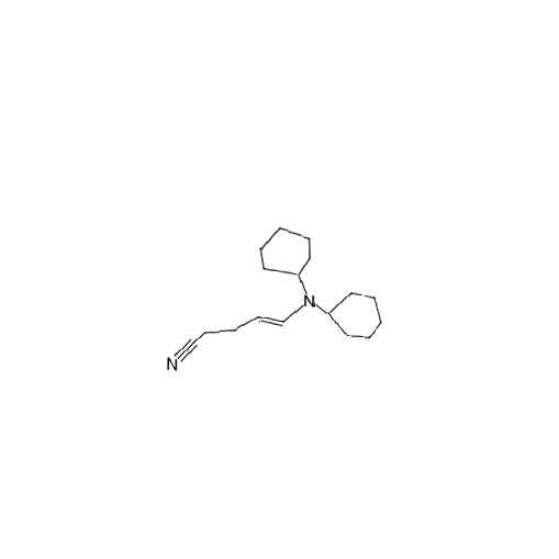 N#CCCC=CN(C1CCCCC1)C1CCCCC1